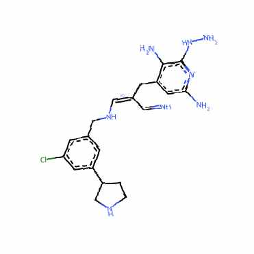 N=C/C(=C\NCc1cc(Cl)cc(C2CCNC2)c1)Cc1cc(N)nc(NN)c1N